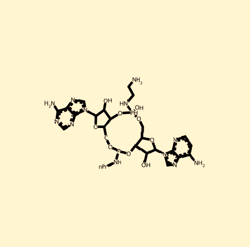 CCCNP1OCC2OC(n3cnc4c(N)ncnc43)C(O)C2O[PH](O)(NCCN)OCC2OC(n3cnc4c(N)ccnc43)C(O)C2O1